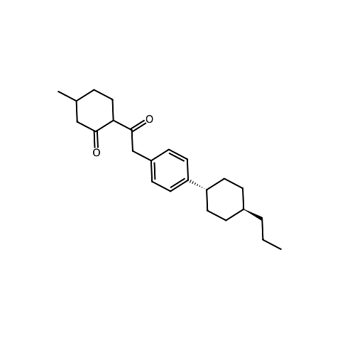 CCC[C@H]1CC[C@H](c2ccc(CC(=O)C3CCC(C)CC3=O)cc2)CC1